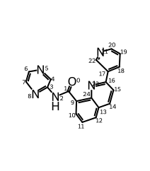 O=C(Nc1cnccn1)c1cccc2ccc(-c3cccnc3)nc12